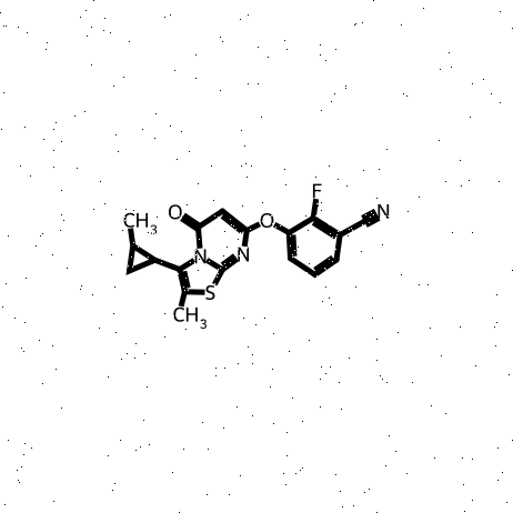 Cc1sc2nc(Oc3cccc(C#N)c3F)cc(=O)n2c1C1CC1C